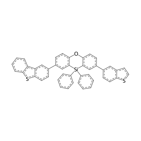 c1ccc([Si]2(c3ccccc3)c3cc(-c4ccc5sccc5c4)ccc3Oc3ccc(-c4ccc5sc6ccccc6c5c4)cc32)cc1